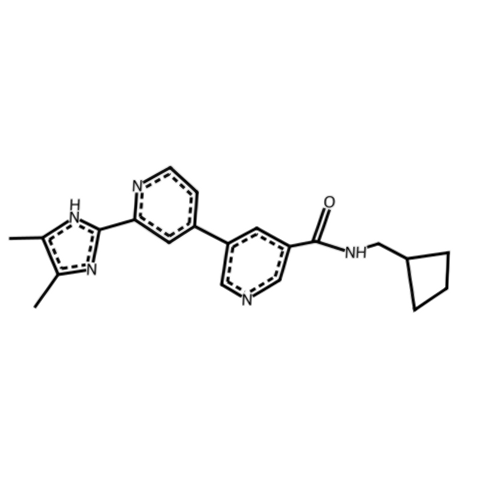 Cc1nc(-c2cc(-c3cncc(C(=O)NCC4CCC4)c3)ccn2)[nH]c1C